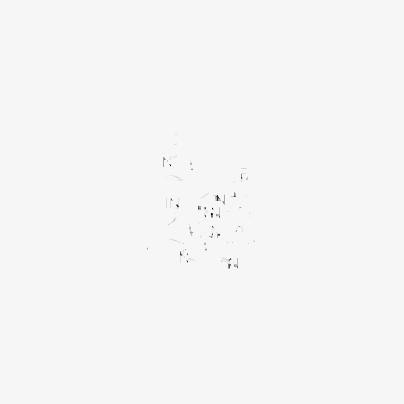 Cc1nc(Cl)ccc1[C@H](Nc1cc(Cl)c2ncc(C#N)c(NCC(C)(C)C)c2c1)c1cn(C2(C(F)F)CC2)nn1